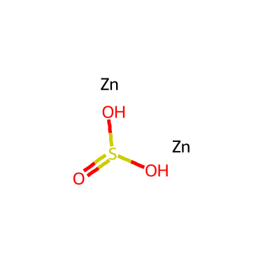 O=S(O)O.[Zn].[Zn]